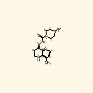 CC(=O)N1CCN(C(=S)N/N=C2/CCNc3c(C)ccnc32)CC1